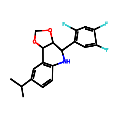 CC(C)c1ccc2c(c1)C1OCOC1C(c1cc(F)c(F)cc1F)N2